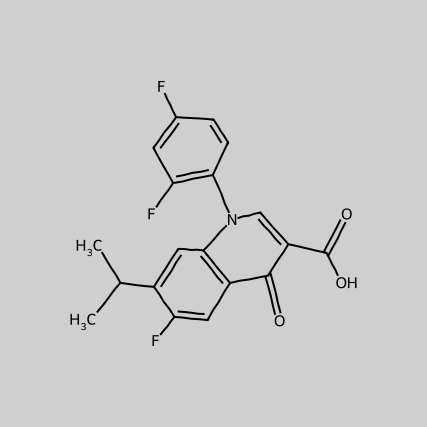 CC(C)c1cc2c(cc1F)c(=O)c(C(=O)O)cn2-c1ccc(F)cc1F